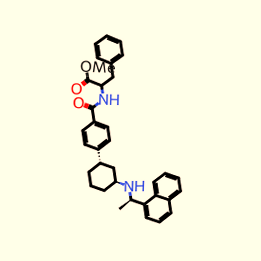 COC(=O)C(Cc1ccccc1)NC(=O)c1ccc([C@H]2CCC[C@H](N[C@H](C)c3cccc4ccccc34)C2)cc1